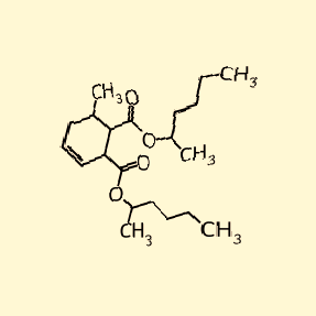 CCCCC(C)OC(=O)C1C=CCC(C)C1C(=O)OC(C)CCCC